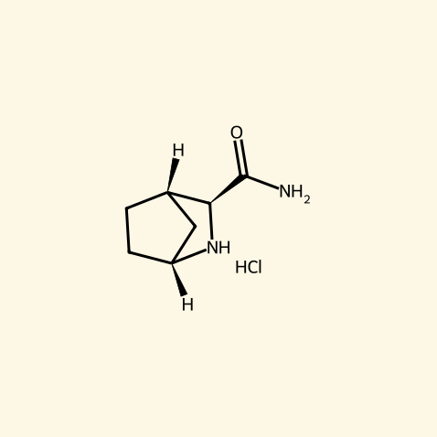 Cl.NC(=O)[C@H]1N[C@@H]2CC[C@H]1C2